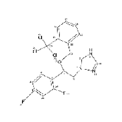 Fc1ccc(C(CN2CNC=N2)OCc2ccccc2C(Cl)(Cl)Cl)c(F)c1